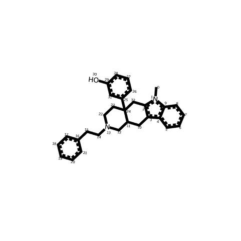 Cn1c2c(c3ccccc31)CC1CN(CCc3ccccc3)CCC1(c1cccc(O)c1)C2